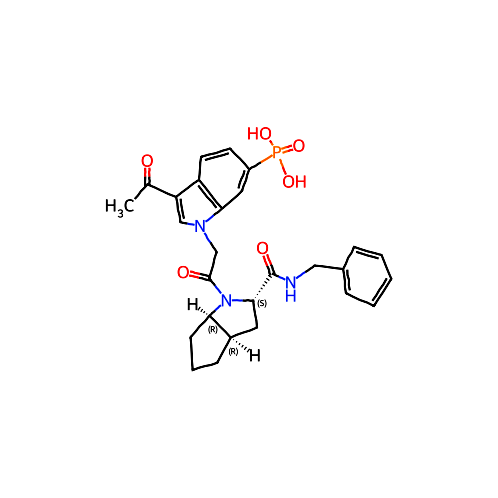 CC(=O)c1cn(CC(=O)N2[C@@H]3CCC[C@@H]3C[C@H]2C(=O)NCc2ccccc2)c2cc(P(=O)(O)O)ccc12